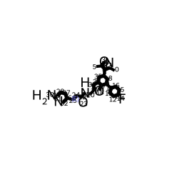 Cc1noc(C)c1-c1cc(-c2ccc(F)cc2)c2oc(CNC(=O)/C=C/c3ccc(N)nc3)cc2c1